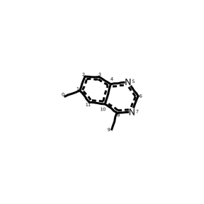 Cc1ccc2ncnc(C)c2c1